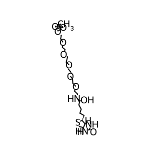 CS(=O)(=O)OCCOCCOCCOCCOCCOCCNC(O)CCCC[C@@H]1SC[C@@H]2NC(=O)N[C@@H]21